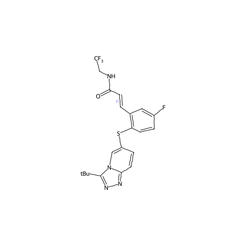 CC(C)(C)c1nnc2ccc(Sc3ccc(F)cc3/C=C/C(=O)NCC(F)(F)F)cn12